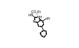 CCCc1cc(-c2ccccc2)cc2nc(NC(=O)OCC)[nH]c12